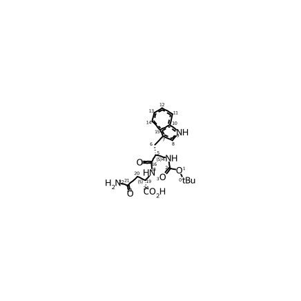 CC(C)(C)OC(=O)N[C@@H](Cc1c[nH]c2ccccc12)C(=O)N[C@@H](CC(N)=O)C(=O)O